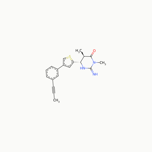 CC#Cc1cccc(-c2csc([C@H]3NC(=N)N(C)C(=O)[C@@H]3C)c2)c1